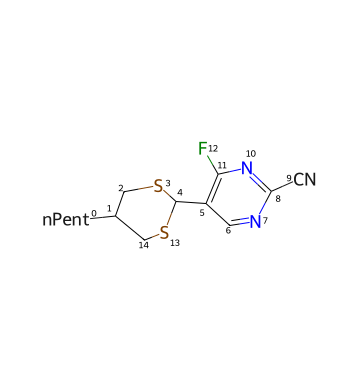 CCCCCC1CSC(c2cnc(C#N)nc2F)SC1